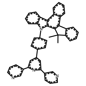 CC1(C)c2ccccc2-c2c1c1c(c3ccccc23)c2ccccc2n1-c1ccc(-c2cc(-c3cccnc3)nc(-c3cccnc3)c2)cc1